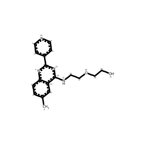 Cc1ccc2nc(-c3ccncc3)nc(NCCOCCO)c2c1